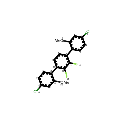 COc1cc(Cl)ccc1-c1ccc(-c2ccc(Cl)cc2OC)c(F)c1F